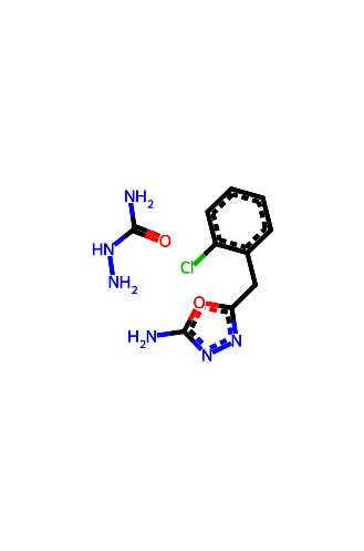 NNC(N)=O.Nc1nnc(Cc2ccccc2Cl)o1